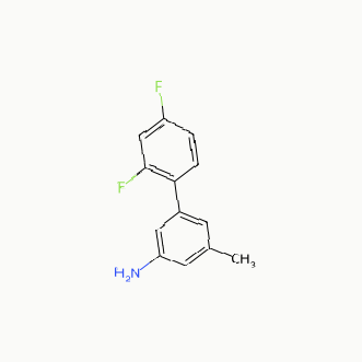 Cc1cc(N)cc(-c2ccc(F)cc2F)c1